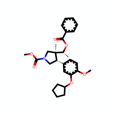 COC(=O)N1C[C@@H](c2ccc(OC)c(OC3CCCC3)c2)[C@](C)([C@@H](C)OC(=O)c2ccccc2)C1